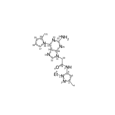 CCn1nc(C)cc1NC(=O)Cn1cnc2c(-n3cccc3C)nc(N)nc21